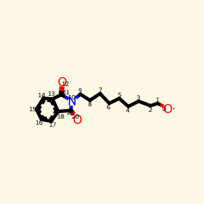 [O]CCCCCCCCCN1C(=O)c2ccccc2C1=O